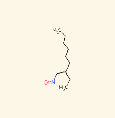 CCCCCCC(CC)CN=O